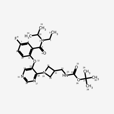 CCN(C(=O)c1cc(F)ccc1Oc1cncnc1N1CC(CNC(=O)OC(C)(C)C)C1)C(C)C